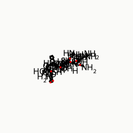 N=C(N)NCCC[C@H](NC(=O)[C@H](CCCCN)NC(=O)CNC(=O)[C@H](CCCNC(=N)N)NC(=O)[C@H](CS)NC(=O)[C@H](CO)NC(=O)[C@H](CO)NC(=O)[C@H](Cc1ccccc1)NC(=O)CNC(=O)[C@H](CC(=O)O)NC(=O)[C@H](CS)NC(=O)[C@@H](N)Cc1ccccc1)C(=O)O